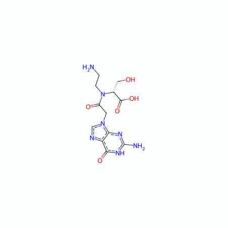 NCCN(C(=O)Cn1cnc2c(=O)[nH]c(N)nc21)[C@H](CO)C(=O)O